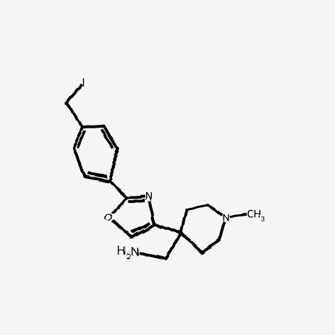 CN1CCC(CN)(c2coc(-c3ccc(CI)cc3)n2)CC1